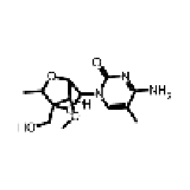 CO[C@@H]1C2OC(C)C1(CO)OC2n1cc(C)c(N)nc1=O